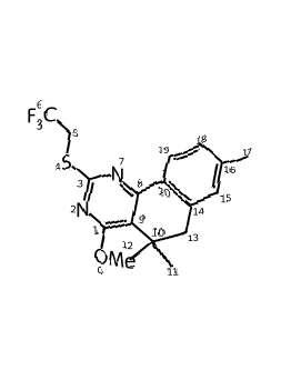 COc1nc(SCC(F)(F)F)nc2c1C(C)(C)Cc1cc(C)ccc1-2